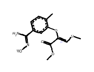 CO/C=C(\Oc1cc(C(N)=NO)ccc1C)C(=O)OC